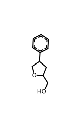 OCC1CC(c2ccccc2)CO1